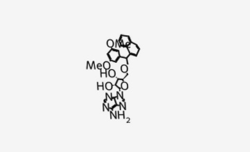 COc1cc(OC)cc(C(COC[C@H]2O[C@@H](n3cnc4c(N)ncnc43)[C@H](O)[C@@H]2O)c2cccc3ccccc23)c1